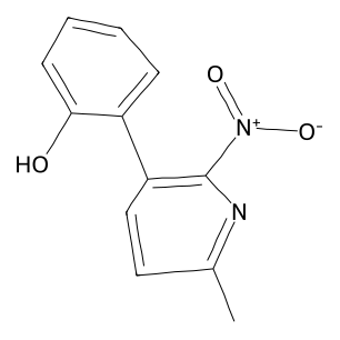 Cc1ccc(-c2ccccc2O)c([N+](=O)[O-])n1